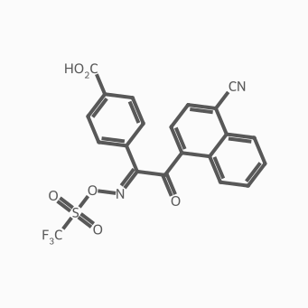 N#Cc1ccc(C(=O)/C(=N/OS(=O)(=O)C(F)(F)F)c2ccc(C(=O)O)cc2)c2ccccc12